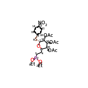 CCOP(CC[C@H]1O[C@H](Sc2ccc([N+](=O)[O-])cc2)[C@@H](OC(C)=O)[C@@H](OC(C)=O)[C@@H]1OC(C)=O)OCC